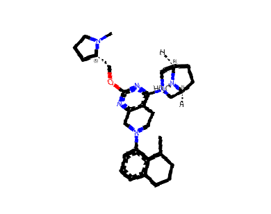 CC1CCCc2cccc(N3CCc4c(nc(OC[C@@H]5CCCN5C)nc4N4C[C@H]5CC[C@@H](C4)N5C(=O)O)C3)c21